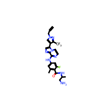 C#CCn1cc(-c2cnc3c(Nc4cc(C)c(C(=O)NC(C)CN)c(F)c4)nccn23)c(C(F)(F)F)n1